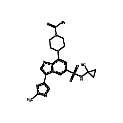 Cc1ncc(-c2cnc3c(N4CCN(C(=O)C(C)C)CC4)cc(S(=O)(=O)NC4(C#N)CC4)cn23)s1